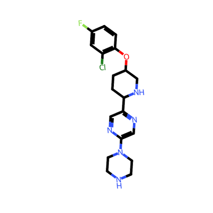 Fc1ccc(OC2CCC(c3cnc(N4CCNCC4)cn3)NC2)c(Cl)c1